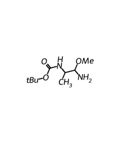 COC(N)C(C)NC(=O)OC(C)(C)C